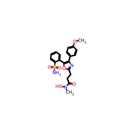 COc1ccc(-c2nc(CCC(=O)N(C)O)oc2-c2ccccc2S(N)(=O)=O)cc1